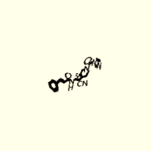 N#Cc1c(NC(=O)/C=C/c2ccccc2)sc2c1CCN(C(=O)n1ccnc1)C2